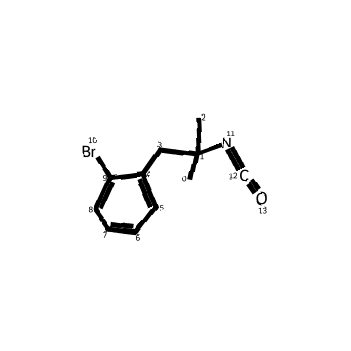 CC(C)(Cc1ccccc1Br)N=C=O